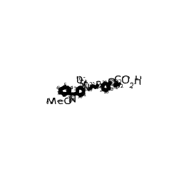 CO/N=C(\c1ccccc1)c1ccc2c(c1)[S+]([O-])CN2CCCOc1cccc(OC(C)(C)C(=O)O)c1